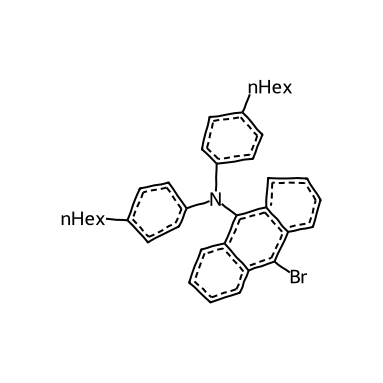 CCCCCCc1ccc(N(c2ccc(CCCCCC)cc2)c2c3ccccc3c(Br)c3ccccc23)cc1